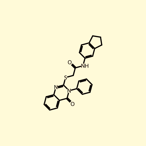 O=C(CSc1nc2ccccc2c(=O)n1-c1ccccc1)Nc1ccc2c(c1)CCC2